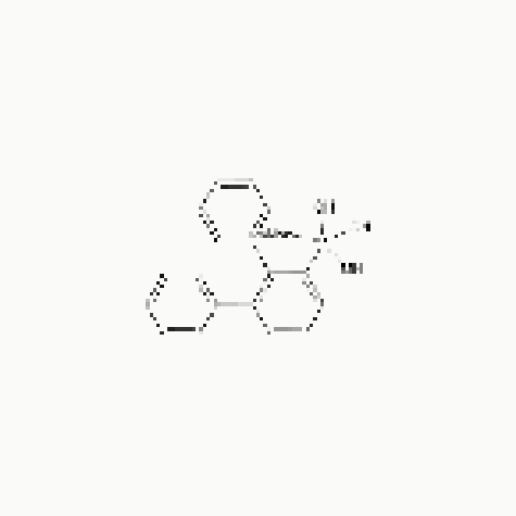 CCCCCCCCCP(O)(O)(O)c1cccc(-c2ccccc2)c1-c1ccccc1